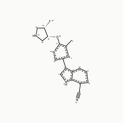 Cc1nc(-c2c[nH]c3c(C#N)cccc23)cnc1O[C@@H]1CNC[C@@H]1F